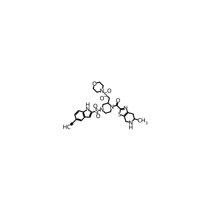 C#Cc1ccc2[nH]c(S(=O)(=O)N3CCN(C(=O)c4nc5c(s4)CNC(C)C5)C(CS(=O)(=O)N4CCOCC4)C3)cc2c1